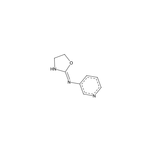 c1cncc(N=C2NCCO2)c1